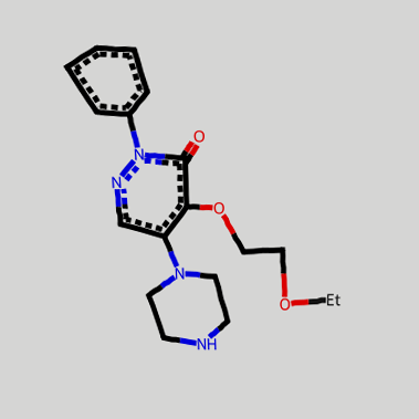 CCOCCOc1c(N2CCNCC2)cnn(-c2ccccc2)c1=O